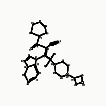 CC(C)(C(=C(C#N)C(=O)N1CCCCC1)N1C=NC2CN=CC=C21)N1CCN(C2COC2)CC1